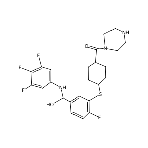 O=C(C1CCC(Sc2cc(C(O)Nc3cc(F)c(F)c(F)c3)ccc2F)CC1)N1CCNCC1